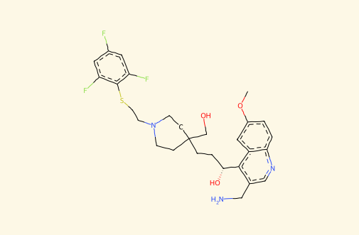 COc1ccc2ncc(CN)c([C@H](O)CCC3(CO)CCN(CCSc4c(F)cc(F)cc4F)CC3)c2c1